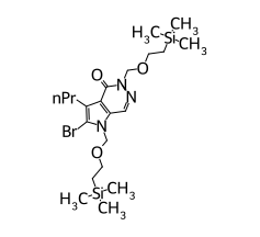 CCCc1c(Br)n(COCC[Si](C)(C)C)c2cnn(COCC[Si](C)(C)C)c(=O)c12